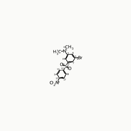 CN(C)c1cc(Br)cc(S(=O)(=O)c2ccc([N+](=O)[O-])cc2)c1